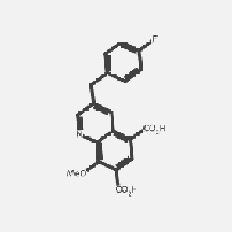 COc1c(C(=O)O)cc(C(=O)O)c2cc(Cc3ccc(F)cc3)cnc12